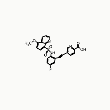 COc1ccc(S(=O)(=O)Nc2ccc(F)cc2C#Cc2ccc(C(=O)O)nc2)c2ncccc12